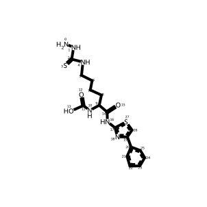 NNC(=S)NCCCCC(NC(=O)O)C(=O)Nc1nc(-c2ccccc2)cs1